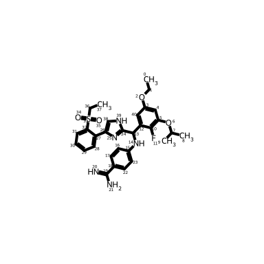 CCOc1cc(OC(C)C)c(F)c(C(Nc2ccc(C(=N)N)cc2)c2nc(-c3ccccc3S(=O)(=O)CC)c[nH]2)c1